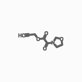 C#CCOC(=O)C(=O)N1CCOC1